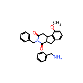 COc1cccc2c1C1CC(=O)N(Cc3ccccc3)C(=O)C1C2.NCc1ccccc1